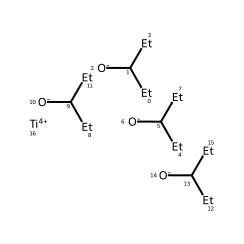 CCC([O-])CC.CCC([O-])CC.CCC([O-])CC.CCC([O-])CC.[Ti+4]